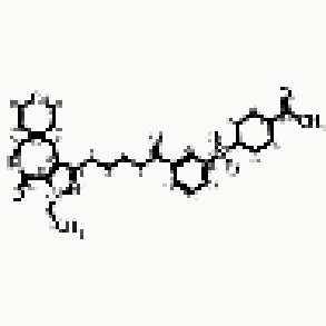 CCn1nc(CCCCC(=O)c2cccc(S(=O)(=O)C3CCC(C(C)=O)CC3)c2)c2c1C(=O)NCC1(CCOCC1)C2